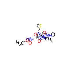 C=CCOC(=O)NCCC[C@H]1C(=O)N(CCc2cccs2)C[C@H]2N1C(=O)CN(C)N2C(=O)NCc1ccccc1